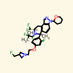 CC(C)(F)CN1[C@H](C(F)F)Cc2c(ccc3c2cnn3C2CCCCO2)[C@@]1(C)c1c(F)cc(OCCN2CC(CF)C2)cc1F